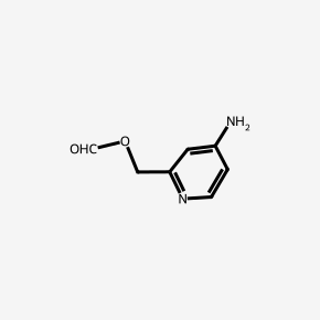 Nc1ccnc(COC=O)c1